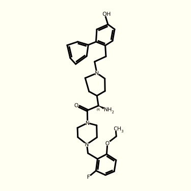 CCOc1cccc(F)c1CN1CCN(C(=O)[C@H](N)C2CCN(CCc3ccc(O)cc3-c3ccccc3)CC2)CC1